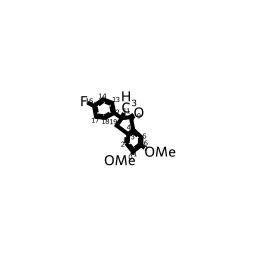 COc1cc2c(cc1OC)C(=O)C(C)(c1ccc(F)cc1)C2